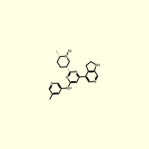 CC(=O)N1C[C@H](c2nc(Nc3cncc(C)c3)cc(-c3cncc4c3CCN4)n2)CC[C@@H]1C